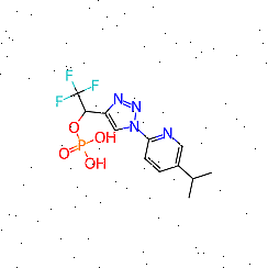 CC(C)c1ccc(-n2cc(C(OP(=O)(O)O)C(F)(F)F)nn2)nc1